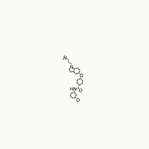 COc1cccc(NC(=O)c2ccc(Oc3ccc4c(ccn4CCCN(C)C)c3)cc2)c1